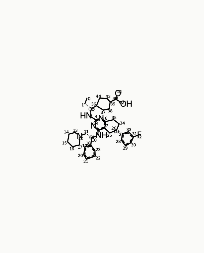 CC[C@@H](Nc1nc2c(c(N[C@@H](CN3CCCCC3)c3ccccc3)n1)C[C@@H](c1cccc(F)c1)CC2)C1CCC(C(=O)O)CC1